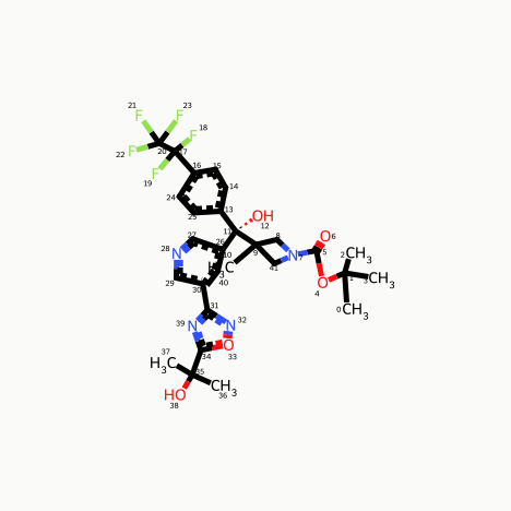 CC(C)(C)OC(=O)N1CC(C)([C@](O)(c2ccc(C(F)(F)C(F)(F)F)cc2)c2cncc(-c3noc(C(C)(C)O)n3)c2)C1